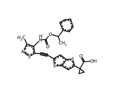 Cc1nsc(C#Cc2cc3sc(C4(C(=O)O)CC4)cc3s2)c1NC(=O)OC(C)c1ccccc1